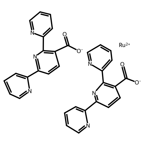 O=C([O-])c1ccc(-c2ccccn2)nc1-c1ccccn1.O=C([O-])c1ccc(-c2ccccn2)nc1-c1ccccn1.[Ru+2]